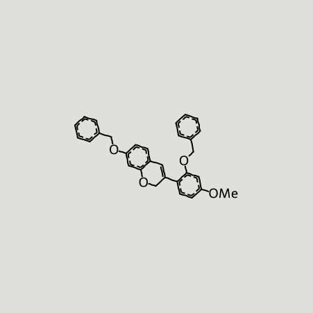 COc1ccc(C2=Cc3ccc(OCc4ccccc4)cc3OC2)c(OCc2ccccc2)c1